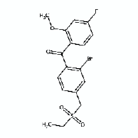 CCS(=O)(=O)Cc1ccc(C(=O)c2ccc(F)cc2OC)c(Br)c1